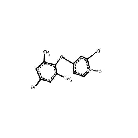 Cc1cc(Br)cc(C)c1Oc1cc[n+]([O-])c(Cl)c1